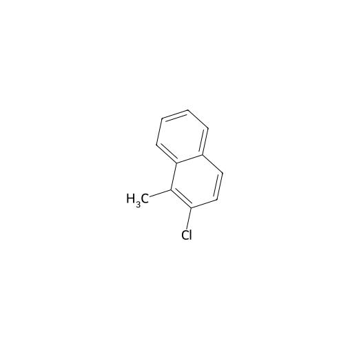 Cc1c(Cl)ccc2ccccc12